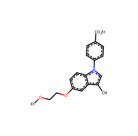 CCOCCOc1ccc2c(c1)c(C#N)cn2-c1ccc(C(=O)OCC)cc1